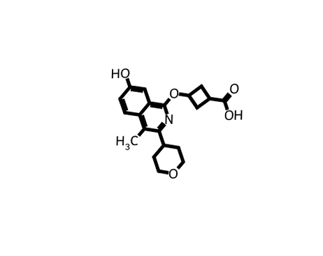 Cc1c(C2CCOCC2)nc(OC2CC(C(=O)O)C2)c2cc(O)ccc12